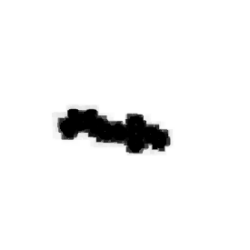 c1ccc2cc(-c3c4ccccc4c(-c4ccc(-c5ccc6cc7c(cc6c5)sc5cc6sc8ccccc8c6cc57)cc4)c4ccccc34)ccc2c1